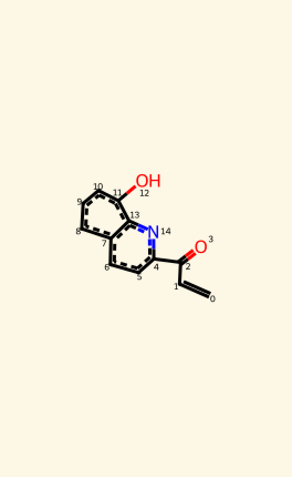 C=CC(=O)c1ccc2cccc(O)c2n1